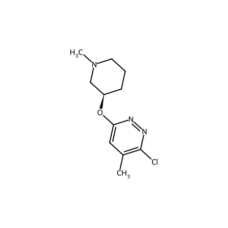 Cc1cc(O[C@@H]2CCCN(C)C2)nnc1Cl